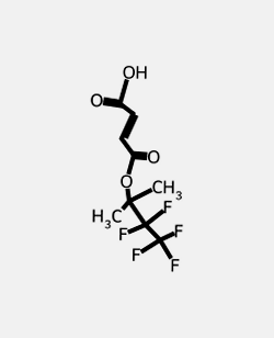 CC(C)(OC(=O)C=CC(=O)O)C(F)(F)C(F)(F)F